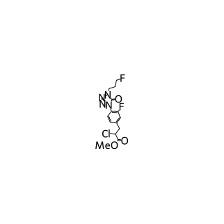 COC(=O)C(Cl)Cc1ccc(-n2nnn(CCCF)c2=O)c(F)c1